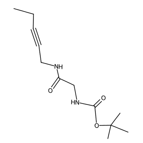 CCC#CCNC(=O)CNC(=O)OC(C)(C)C